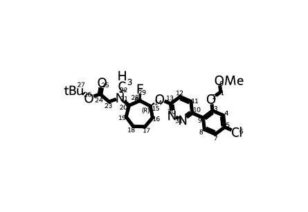 COCOc1cc(Cl)ccc1-c1ccc(O[C@@H]2CCCCC(N(C)CC(=O)OC(C)(C)C)[C@H]2F)nn1